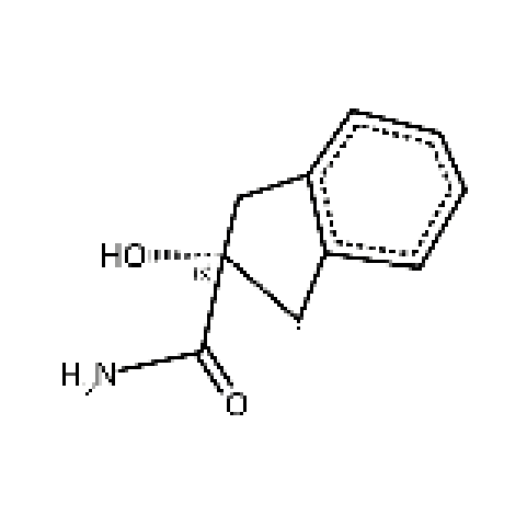 NC(=O)[C@]1(O)[CH]c2ccccc2C1